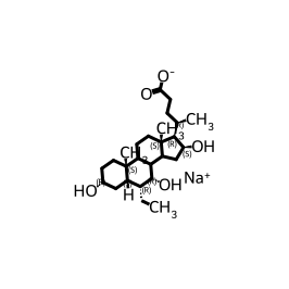 CC[C@H]1[C@@H](O)C2C3C[C@H](O)[C@H]([C@H](C)CCC(=O)[O-])[C@@]3(C)CCC2[C@@]2(C)CC[C@@H](O)C[C@@H]12.[Na+]